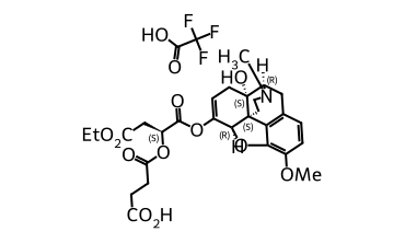 CCOC(=O)C[C@H](OC(=O)CCC(=O)O)C(=O)OC1=CC[C@@]2(O)[C@H]3Cc4ccc(OC)c5c4[C@@]2(CCN3C)[C@H]1O5.O=C(O)C(F)(F)F